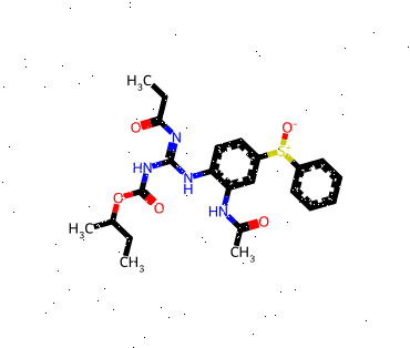 CCC(=O)N=C(NC(=O)OC(C)CC)Nc1ccc([S+]([O-])c2ccccc2)cc1NC(C)=O